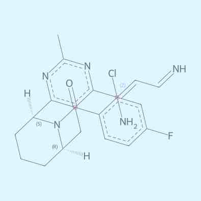 Cc1nc(/C(N)=C/C=N)c2c(n1)[C@@H]1CCC[C@H](C2)N1C(=O)c1ccc(F)cc1Cl